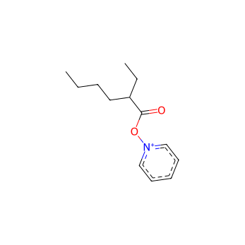 CCCCC(CC)C(=O)O[n+]1ccccc1